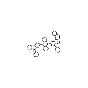 c1ccc(-c2cc(-c3c4ccccc4c(-c4ccc5c6ccccc6n(-c6ccccc6)c5c4)c4ccccc34)cc3c2oc2ccc4ccccc4c23)cc1